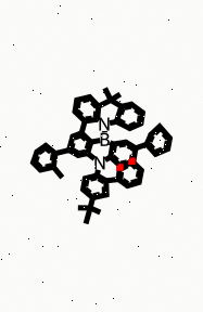 Cc1ccccc1-c1cc2c3c(c1)N(c1ccc(C(C)(C)C)cc1-c1ccccc1)c1ccc(-c4ccccc4)cc1B3N1c3ccccc3C(C)(C)c3cccc-2c31